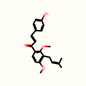 COc1ccc(C(=O)C=Cc2ccc(O)cc2)c(OC)c1CC=C(C)C